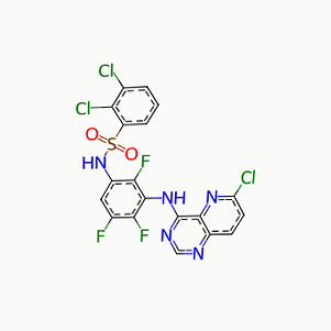 O=S(=O)(Nc1cc(F)c(F)c(Nc2ncnc3ccc(Cl)nc23)c1F)c1cccc(Cl)c1Cl